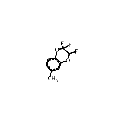 Cc1ccc2c(c1)OC(F)C(F)(F)O2